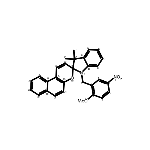 COc1ccc([N+](=O)[O-])cc1CN1c2ccccc2C(C)(C)C12C=Cc1c(ccc3ccccc13)O2